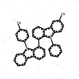 N#Cc1ccc(-n2c3ccccc3c3cccc(-c4cccc5c6cc(C#N)ccc6n(-c6ccccc6)c45)c32)cc1